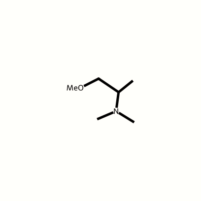 COCC(C)N(C)C